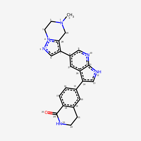 CN1CCn2ncc(-c3cnc4[nH]cc(-c5ccc6c(c5)CCNC6=O)c4c3)c2C1